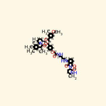 C=C1CCC(N2C(=O)c3cccc(NCCCCNC(=O)COc4ccc([C@@H](CCc5ccc(OC)c(C)c5)OC(=O)[C@@H]5CCCCN5C(=O)[C@@H](CC)c5cc(C)c(C)c(C)c5)cc4)c3C2=O)C(=O)N1